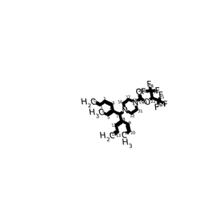 C=C/C=C\C(=C/C)C(C(/C=C\C)=C/C=C)N1CCN(C(=O)OC(C(F)(F)F)C(F)(F)F)CC1